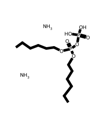 CCCCCCOP(=O)(OCCCCCC)OP(=O)(O)O.N.N